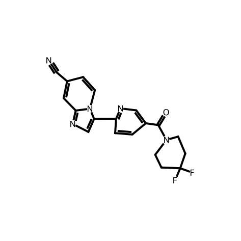 N#Cc1ccn2c(-c3ccc(C(=O)N4CCC(F)(F)CC4)cn3)cnc2c1